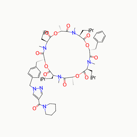 CC(C)C[C@H]1C(=O)O[C@H](Cc2ccc(Cn3cc(C(=O)N4CCCCC4)cn3)cc2)C(=O)N(C)[C@@H](CC(C)C)C(=O)O[C@H](C)C(=O)N(C)[C@@H](CC(C)C)C(=O)O[C@H](Cc2ccccc2)C(=O)N(C)[C@@H](CC(C)C)C(=O)O[C@H](C)C(=O)N1C